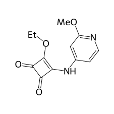 CCOc1c(Nc2ccnc(OC)c2)c(=O)c1=O